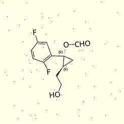 O=CO[C@]1(c2cc(F)ccc2F)C[C@H]1CCO